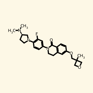 CN(C)[C@@H]1CCN(c2ccc(N3CCc4cc(OCC5(C)COC5)ccc4C3=O)cc2F)C1